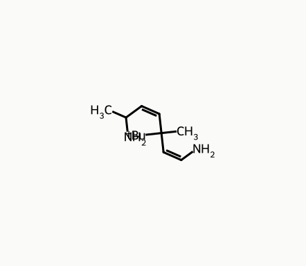 CC(N)/C=C\C(C)(/C=C\N)C(C)(C)C